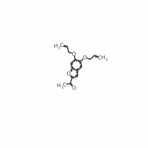 C=CCOc1cc2cc(C(C)=O)oc2cc1OCC=C